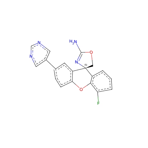 NC1=N[C@@]2(CO1)c1cc(-c3cncnc3)ccc1Oc1c(F)cccc12